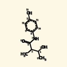 CC(O)C(C)C(=O)Nc1ccc(O)cc1